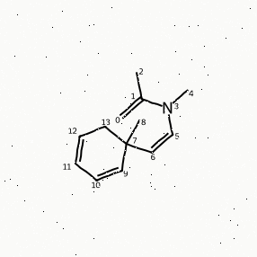 C=C(C)N(C)/C=C\C1(C)C=CC=CC1